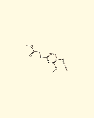 COC(=O)COc1ccc(N=C=S)c(OC)c1